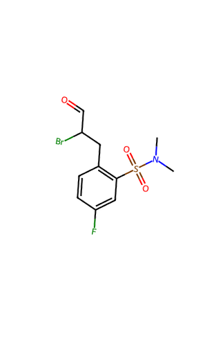 CN(C)S(=O)(=O)c1cc(F)ccc1CC(Br)C=O